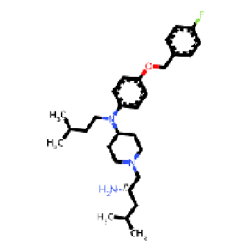 CC(C)CCN(c1ccc(OCc2ccc(F)cc2)cc1)C1CCN(C[C@@H](N)CC(C)C)CC1